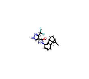 CC1C2CCC3c4c(NC(=O)c5cn(C)nc5C(F)F)cccc4C312